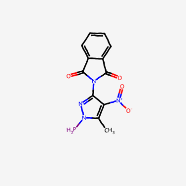 Cc1c([N+](=O)[O-])c(N2C(=O)c3ccccc3C2=O)nn1P